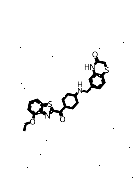 CCOc1cccc2sc(C(=O)C3CCC(NCc4ccc5c(c4)NC(=O)CS5)CC3)nc12